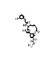 COC(=O)Nc1ccc2c(c1)NC(=O)CC/C=C/C[C@H](NC(=O)/C=C/c1cccc(Cl)c1)c1nc-2c[nH]1